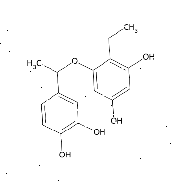 CCc1c(O)cc(O)cc1OC(C)c1ccc(O)c(O)c1